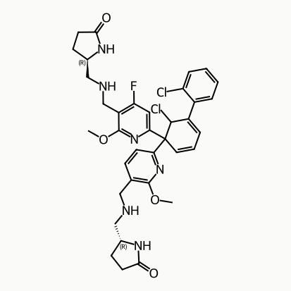 COc1nc(C2(c3cc(F)c(CNC[C@H]4CCC(=O)N4)c(OC)n3)C=CC=C(c3ccccc3Cl)C2Cl)ccc1CNC[C@H]1CCC(=O)N1